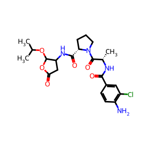 CC(C)OC1OC(=O)CC1NC(=O)[C@@H]1CCCN1C(=O)[C@H](C)NC(=O)c1ccc(N)c(Cl)c1